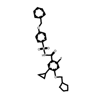 O=C(NS(=O)(=O)c1ccc(OCc2ccccc2)cc1)c1cc(C2CC2)c(OCC2CCCC2)cc1F